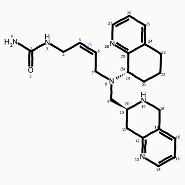 NC(=O)NC/C=C\CN(C[C@@H]1Cc2ncccc2CN1)[C@H]1CCCc2cccnc21